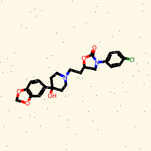 O=C1OC(CCN2CCC(O)(c3ccc4c(c3)OCO4)CC2)CN1c1ccc(Cl)cc1